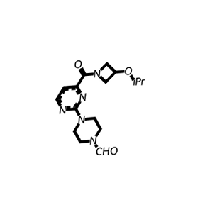 CC(C)OC1CN(C(=O)c2ccnc(N3CCN(C=O)CC3)n2)C1